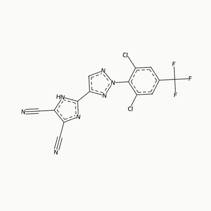 N#Cc1nc(-c2cnn(-c3c(Cl)cc(C(F)(F)F)cc3Cl)n2)[nH]c1C#N